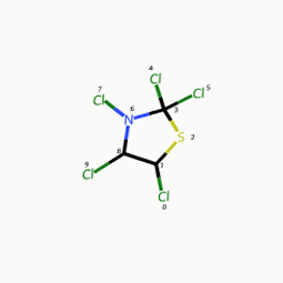 ClC1SC(Cl)(Cl)N(Cl)C1Cl